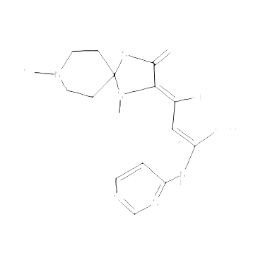 CC(=O)N1CCC2(CC1)NC(=O)/C(=C(Cl)/C=C(\C=O)Nc1ccncn1)N2C